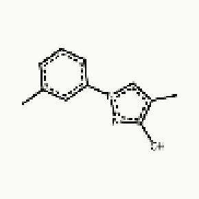 Cc1cccc(-n2cc(C)c(O)n2)c1